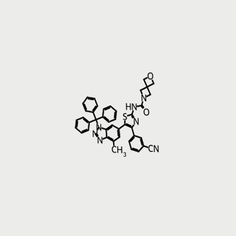 Cc1cc(-c2sc(NC(=O)N3CC4(COC4)C3)nc2-c2cccc(C#N)c2)cc2c1nnn2C(c1ccccc1)(c1ccccc1)c1ccccc1